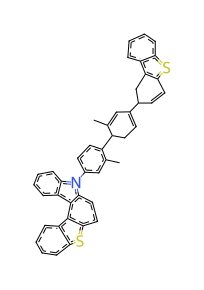 CC1=CC(C2C=Cc3sc4ccccc4c3C2)=CCC1c1ccc(-n2c3ccccc3c3c4c(ccc32)sc2ccccc24)cc1C